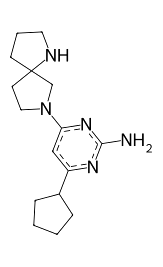 Nc1nc(C2CCCC2)cc(N2CCC3(CCCN3)C2)n1